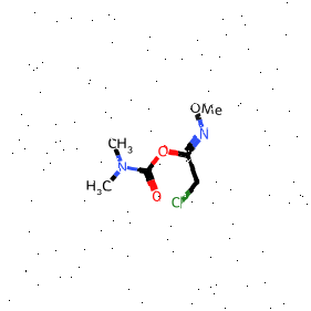 CON=C(CCl)OC(=O)N(C)C